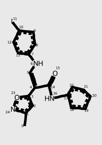 Cc1cc(C(=CNc2ccc(I)cc2)C(=O)Nc2ccccc2)on1